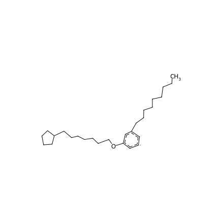 CCCCCCCCCc1c[c]cc(OCCCCCCCC2CCCC2)c1